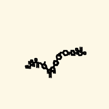 Cc1cc(-c2n[nH]c3ncc(-c4ccc(C5CCN(CC6CCN(c7ccc(N8CCC(=O)NC8=O)cc7)CC6)CC5)cc4)cc23)ccc1CNC(=O)c1nc(C(C)(C)C)no1